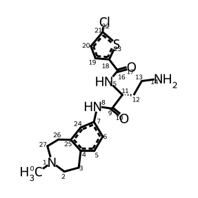 CN1CCc2ccc(NC(=O)[C@@H](CCN)NC(=O)c3ccc(Cl)s3)cc2CC1